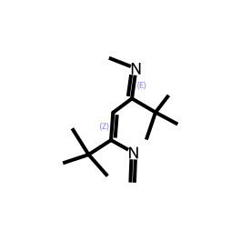 C=N/C(=C\C(=N/C)C(C)(C)C)C(C)(C)C